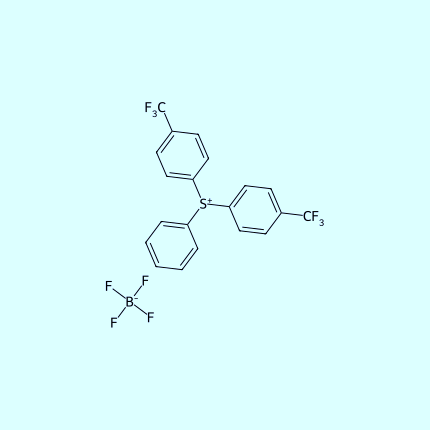 FC(F)(F)c1ccc([S+](c2ccccc2)c2ccc(C(F)(F)F)cc2)cc1.F[B-](F)(F)F